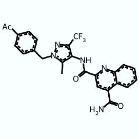 CC(=O)c1ccc(Cn2nc(C(F)(F)F)c(NC(=O)c3cc(C(N)=O)c4ccccc4n3)c2C)cc1